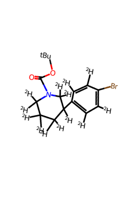 [2H]c1c([2H])c(C2([2H])C([2H])([2H])N(C(=O)OC(C)(C)C)C([2H])([2H])C([2H])([2H])C2([2H])[2H])c([2H])c([2H])c1Br